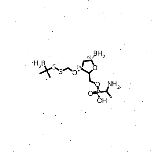 B[C@H]1C[C@@H](OCSSC(B)(C)C)C(COP(=O)(O)C(C)N)O1